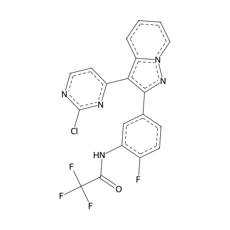 O=C(Nc1cc(-c2nn3ccccc3c2-c2ccnc(Cl)n2)ccc1F)C(F)(F)F